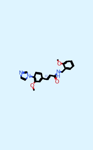 COc1ccccc1CNC(=O)/C=C/c1ccc(-n2ccnc2)c(OC)c1